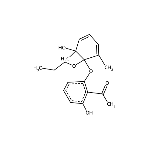 CCCOC1(Oc2cccc(O)c2C(C)=O)C(C)=CC=CC1(C)O